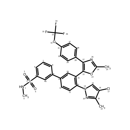 CNS(=O)(=O)c1cccc(-c2ccc(-n3cc(Cl)c(C)n3)c(-c3oc(C)nc3-c3ccc(OC(F)(F)F)cc3)c2)c1